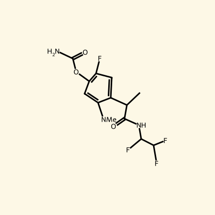 CNc1cc(OC(N)=O)c(F)cc1C(C)C(=O)NC(F)C(F)F